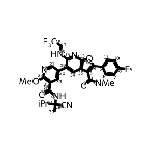 CNC(=O)c1c(-c2ccc(F)cc2)oc2nc(NCC(F)(F)F)c(-c3cnc(OC)c(C(=O)NC(C)(C#N)C(C)C)c3)cc12